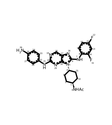 CC(=O)N[C@H]1CC[C@H](n2c(Nc3ccc(F)cc3F)nc3cnc(Nc4ccc(N)cc4)nc32)CC1